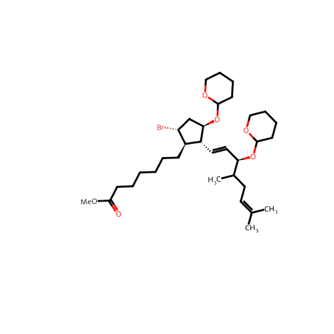 COC(=O)CCCCCC[C@@H]1[C@@H](/C=C/[C@@H](OC2CCCCO2)C(C)CC=C(C)C)[C@H](OC2CCCCO2)C[C@H]1Br